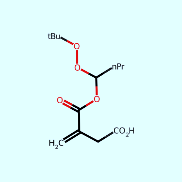 C=C(CC(=O)O)C(=O)OC(CCC)OOC(C)(C)C